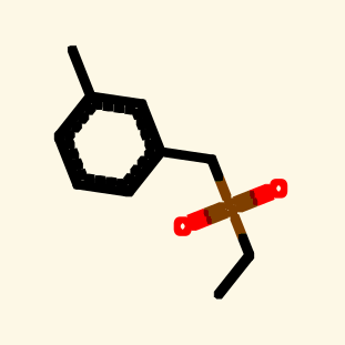 CCS(=O)(=O)Cc1cccc(C)c1